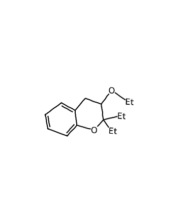 CCOC1Cc2ccccc2OC1(CC)CC